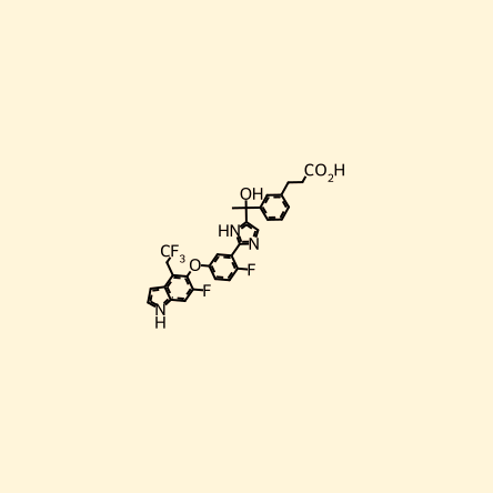 CC(O)(c1cccc(CCC(=O)O)c1)c1cnc(-c2cc(Oc3c(F)cc4[nH]ccc4c3CC(F)(F)F)ccc2F)[nH]1